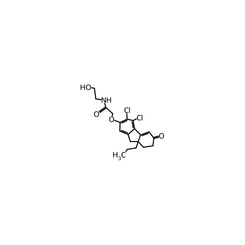 CCCC12CCC(=O)C=C1c1c(cc(OCC(=O)NCCO)c(Cl)c1Cl)C2